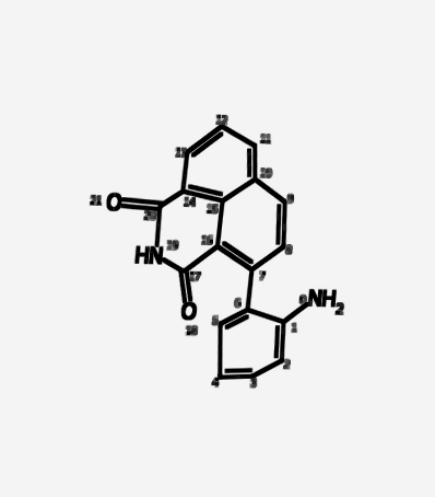 Nc1ccccc1-c1ccc2cccc3c2c1C(=O)NC3=O